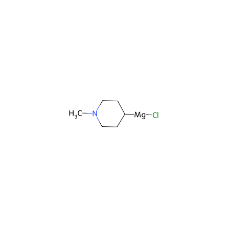 CN1CC[CH]([Mg][Cl])CC1